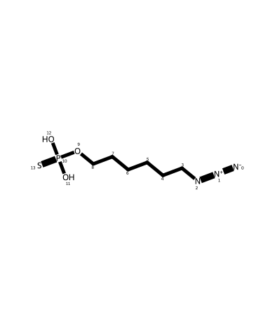 [N-]=[N+]=NCCCCCCOP(O)(O)=S